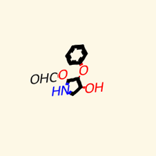 O=CO[C@H]1NC[C@H](O)[C@H]1Oc1ccccc1